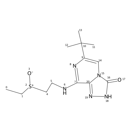 CC[S+]([O-])CCNc1nc(C(C)(C)C)cn2c(=O)[nH]nc12